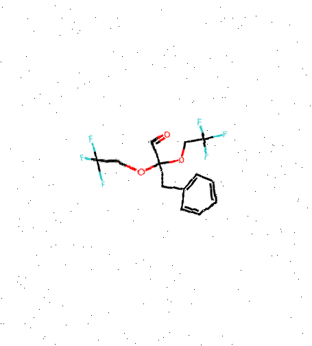 O=[C]C(Cc1ccccc1)(OCC(F)(F)F)OCC(F)(F)F